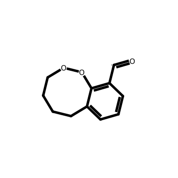 O=[C]c1cccc2c1OOCCCC2